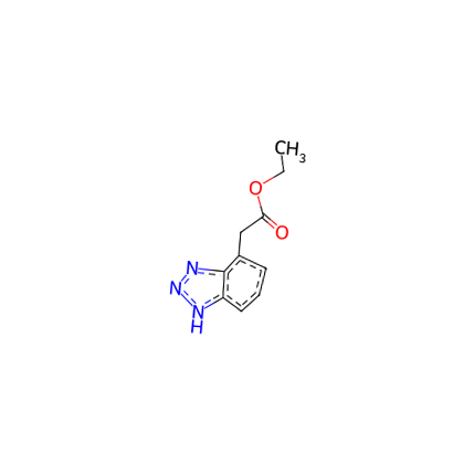 CCOC(=O)Cc1cccc2[nH]nnc12